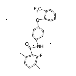 Cc1ccc(C)c(C(=O)Nc2ccc(Oc3ccccc3C(F)(F)F)cc2)c1F